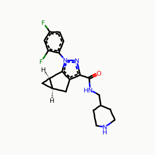 O=C(NCC1CCNCC1)c1nn(-c2ccc(F)cc2F)c2c1C[C@H]1C[C@@H]21